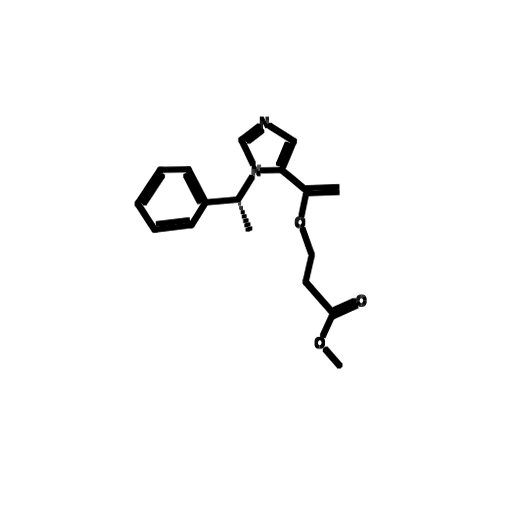 C=C(OCCC(=O)OC)c1cncn1[C@H](C)c1ccccc1